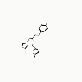 Cc1ccc(CCC(Cn2ccnc2)OCc2ccc(Cl)s2)cc1